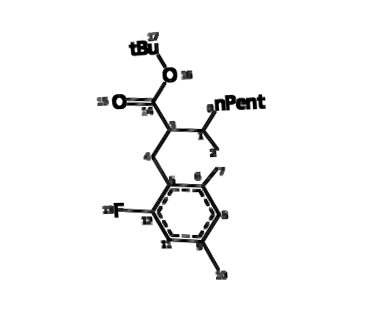 CCCCCC(C)C(Cc1c(C)cc(C)cc1F)C(=O)OC(C)(C)C